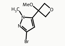 COC1(c2cc(Br)nn2C)COC1